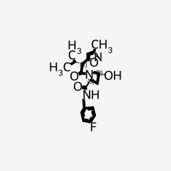 Cc1cc([C@H](C(=O)N2C[C@H](O)C[C@H]2C(=O)NCc2ccc(F)cc2)C(C)C)on1